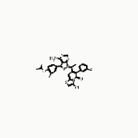 CC(C)Oc1ccc(-c2nn(C(C)c3cc4scc(Cl)n4c(=O)c3-c3cccc(F)c3)c3ncnc(N)c23)cc1F